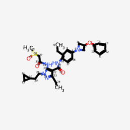 CCc1cc(N2CC(Oc3ccccc3)C2)ccc1NC(=O)c1c(CC)nn(CCC2CC2)c1NC(=O)C[S+](C)[O-]